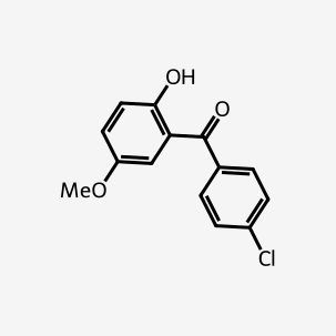 COc1ccc(O)c(C(=O)c2ccc(Cl)cc2)c1